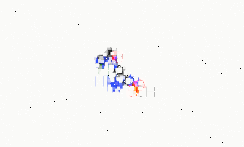 CS(=O)(=O)c1ccc(-c2ccc(NC(=O)C3(c4cccc(Cl)c4)CC3)cc2-c2nnn[nH]2)cn1